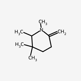 C=C1CCC(C)(C)C(C)N1C